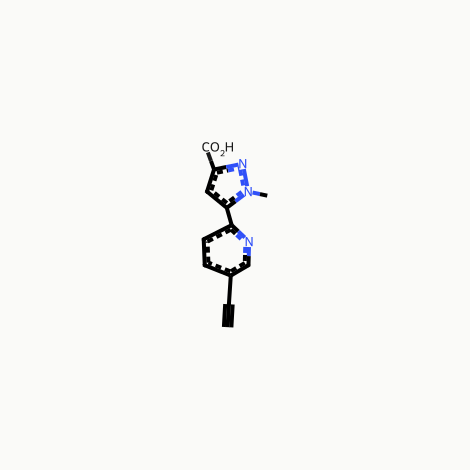 C#Cc1ccc(-c2cc(C(=O)O)nn2C)nc1